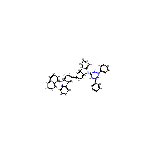 c1ccc(-c2nc(-c3ccccc3)nc(-n3c4ccccc4c4cc(-c5ccc6c(c5)c5ccccc5n6-c5cccc6ccccc56)ccc43)n2)cc1